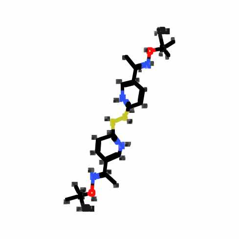 C/C(=N\O[Si](C)(C)C(C)(C)C)c1ccc(SSc2ccc(/C(C)=N/O[Si](C)(C)C(C)(C)C)cn2)nc1